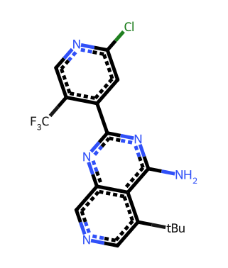 CC(C)(C)c1cncc2nc(-c3cc(Cl)ncc3C(F)(F)F)nc(N)c12